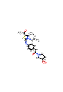 CCn1c(C)c(C(C)=O)sc1=Nc1ccc(CC(=O)N2CCC(O)C2)cc1